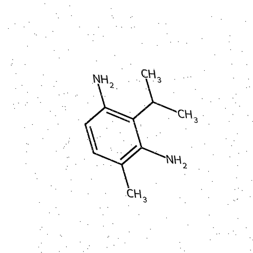 Cc1ccc(N)c(C(C)C)c1N